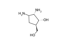 NC1C[C@H](CO)[C@@H](O)[C@H]1N